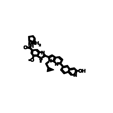 COc1cc(C(=O)N2CC3CCC2[C@@H]3N)cc2nc(-c3cc4ccc(-c5ccc6cnc(O)cc6c5)nc4n3CC3CC3)n(C)c12